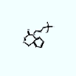 O=C1C=NCc2ccccc2N1CCCC(F)(F)F